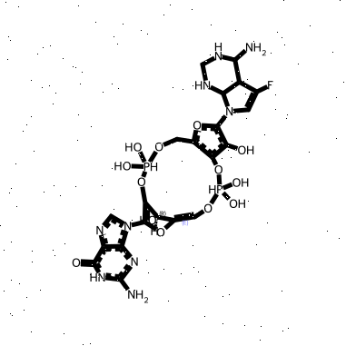 Nc1nc2c(ncn2C2=C3O[PH](O)(O)OCc4oc(N5C=C(F)C6C(N)NCNC65)c(O)c4O[PH](O)(O)O/C=C(/O2)[C@H]3O)c(=O)[nH]1